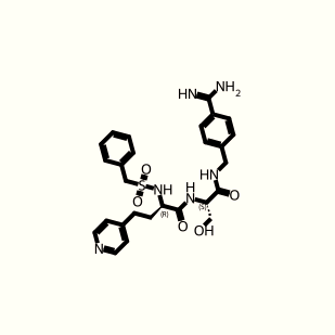 N=C(N)c1ccc(CNC(=O)[C@H](CO)NC(=O)[C@@H](CCc2ccncc2)NS(=O)(=O)Cc2ccccc2)cc1